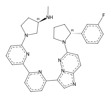 CN[C@@H]1CCN(c2cccc(-c3cccc(-c4cnc5ccc(N6CCC[C@@H]6c6cccc(F)c6)nn45)n3)n2)C1